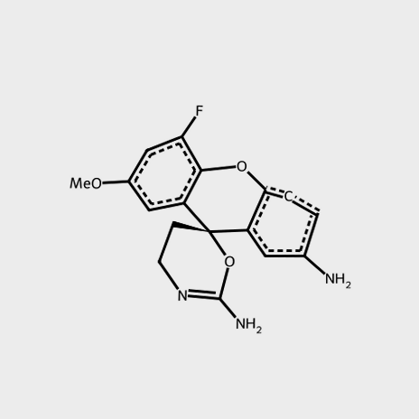 COc1cc(F)c2c(c1)[C@]1(CCN=C(N)O1)c1cc(N)ccc1O2